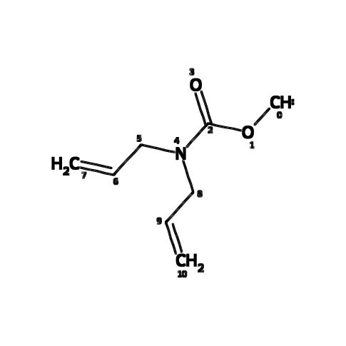 [CH]OC(=O)N(CC=C)CC=C